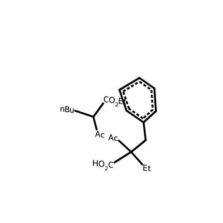 CCC(Cc1ccccc1)(C(C)=O)C(=O)O.CCCCC(C(C)=O)C(=O)OCC